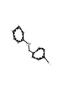 Fc1ccc(C[Se]c2ccccc2)cc1